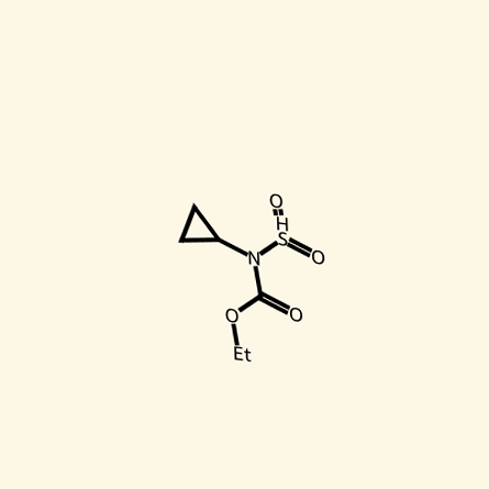 CCOC(=O)N(C1CC1)[SH](=O)=O